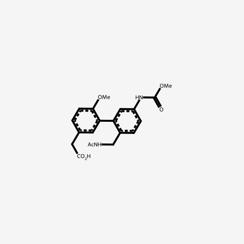 COC(=O)Nc1ccc(CNC(C)=O)c(-c2cc(CC(=O)O)ccc2OC)c1